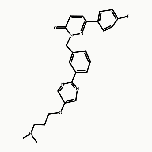 CN(C)CCCOc1cnc(-c2cccc(Cn3nc(-c4ccc(F)cc4)ccc3=O)c2)nc1